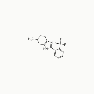 CC1CCc2nc(-c3ccccc3C(F)(F)F)[nH]c2C1